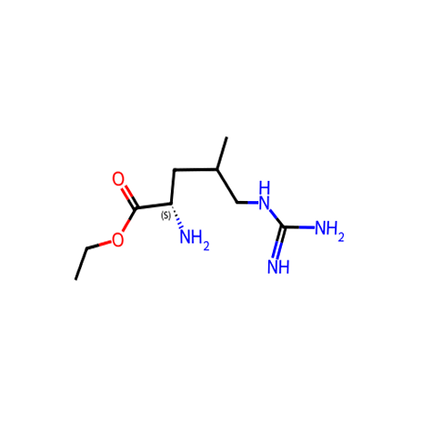 CCOC(=O)[C@@H](N)CC(C)CNC(=N)N